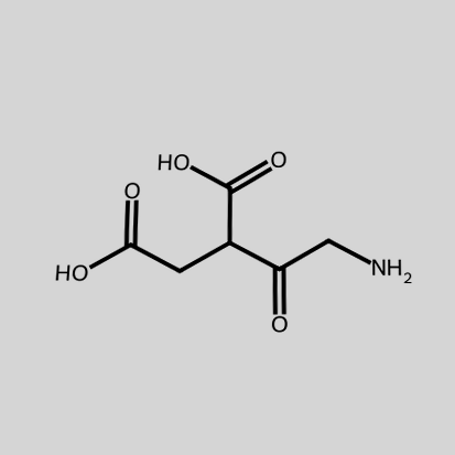 NCC(=O)C(CC(=O)O)C(=O)O